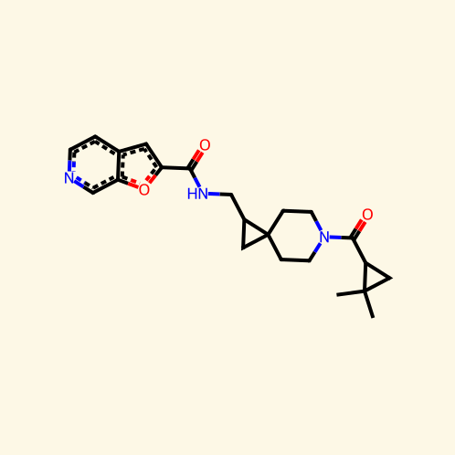 CC1(C)CC1C(=O)N1CCC2(CC1)CC2CNC(=O)c1cc2ccncc2o1